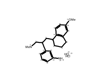 CNCC(CC1CCCc2cc(OC)ccc21)c1cccc(N)c1.Cl.Cl